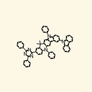 CC1(C)c2cc(-c3nc(-c4ccccc4)nc(-c4ccccc4)n3)ccc2N(c2ccccc2)c2cc3c4cc(-n5c6ccccc6c6ccccc65)ccc4n(-c4ccccc4)c3cc21